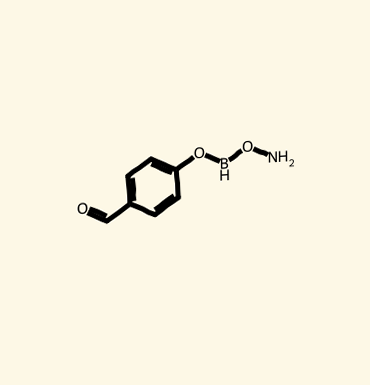 NOBOc1ccc(C=O)cc1